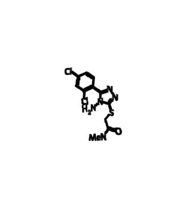 CNC(=O)CSc1nnc(-c2ccc(Cl)cc2Cl)n1N